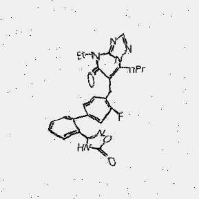 CCCc1c(Cc2ccc(-c3ccccc3-c3noc(=O)[nH]3)cc2F)c(=O)n(CC)c2ncnn12